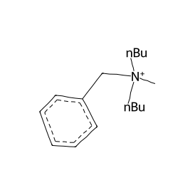 CCCC[N+](C)(CCCC)Cc1ccccc1